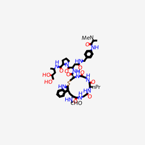 CCCC1NC(=O)CNC(=O)[C@@H](NC=O)Cc2c([nH]c3ccccc23)SC[C@@H](C(=O)NC(CC(=O)NCc2ccc(NC(=O)C(C)NC)cc2)C(=O)N2CCCC2C(=O)NC(C)CC(O)CO)NC(=O)CNC1=O